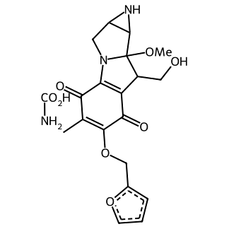 COC12C(CO)C3=C(C(=O)C(C)=C(OCc4ccco4)C3=O)N1CC1NC12.NC(=O)O